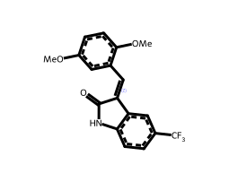 COc1ccc(OC)c(/C=C2\C(=O)Nc3ccc(C(F)(F)F)cc32)c1